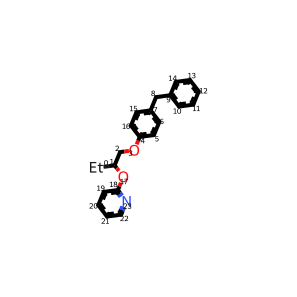 CCC(COc1ccc(Cc2ccccc2)cc1)Oc1ccccn1